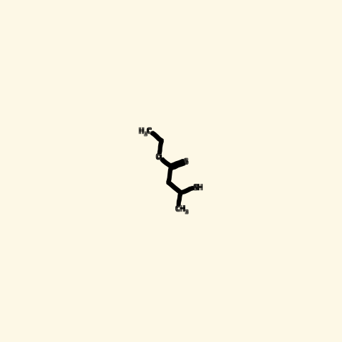 CCOC(=S)CC(C)S